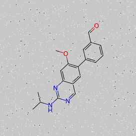 COc1cc2nc(NC(C)C)ncc2cc1-c1cccc(C=O)c1